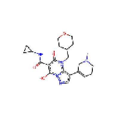 CN1CCC=C(c2cnn3c(O)c(C(=O)NC4CC4)c(=O)n(CC4CCOCC4)c23)C1